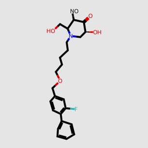 O=NC1C(=O)[C@@H](O)CN(CCCCCOCc2ccc(-c3ccccc3)c(F)c2)C1CO